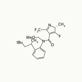 COCN(C(=O)C1=C(F)[C@@H](C)N=C1C(F)(F)F)c1ccccc1C(C)CC(C)(C)C